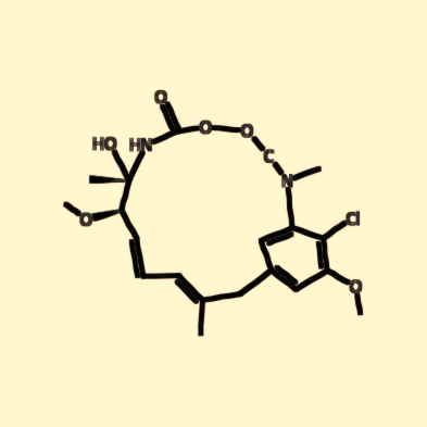 COc1cc2cc(c1Cl)N(C)COOC(=O)N[C@@](C)(O)[C@H](OC)/C=C/C=C(\C)C2